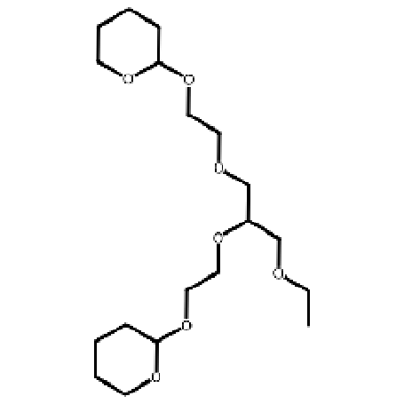 CCOCC(COCCOC1CCCCO1)OCCOC1CCCCO1